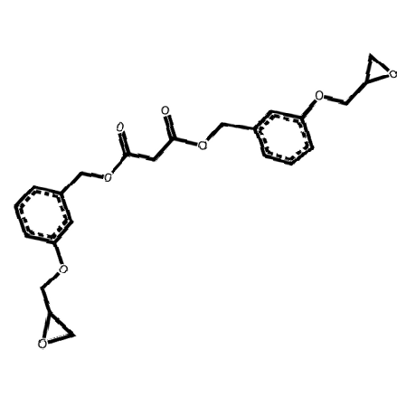 O=C(CC(=O)OCc1cccc(OCC2CO2)c1)OCc1cccc(OCC2CO2)c1